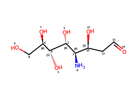 N[C@@H]([C@@H](O)[C@H](O)[C@H](O)CO)[C@@H](O)CC=O